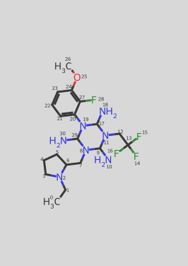 CCN1CCCC1CN1C(N)N(CC(F)(F)F)C(N)N(c2cccc(OC)c2F)C1N